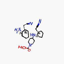 N#CC[C@H]1CCCC[C@@H]1N.N#CC[C@H]1CCCC[C@@H]1NC1CCN(C(=O)O)CC1